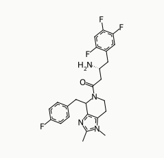 Cc1nc2c(n1C)CCN(C(=O)C[C@H](N)Cc1cc(F)c(F)cc1F)C2Cc1ccc(F)cc1